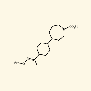 CCCO/N=C(\C)C1CCN(C2CCCN(C(=O)OCC)CC2)CC1